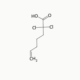 C=CCCCC(Cl)(Cl)C(=O)O